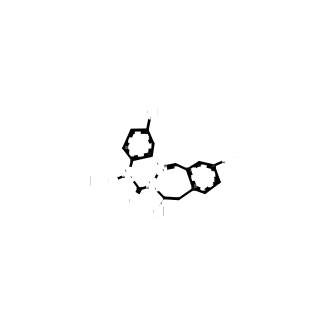 C[C@@H]1Cc2ccc(Br)cc2C=NN1C(=O)N(C)c1ccc(Cl)cc1